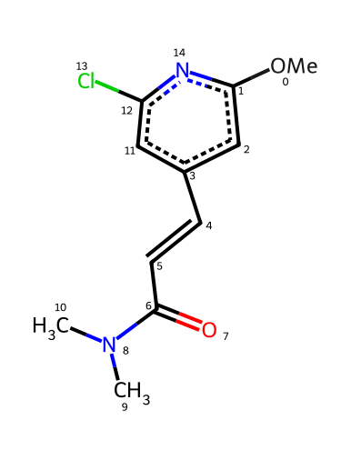 COc1cc(C=CC(=O)N(C)C)cc(Cl)n1